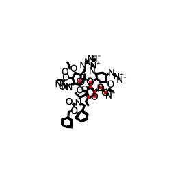 CCC1OC(OC2C(OC(C)=O)C(N=[N+]=[N-])CC(N=[N+]=[N-])C2OC2OC(C(C)N(Cc3ccccc3)C(=O)OCc3ccccc3)CCC2N=[N+]=[N-])C(OC(C)=O)C1OC1OC(CN=[N+]=[N-])C(OC(C)=O)C(OC(C)=O)C1N=[N+]=[N-]